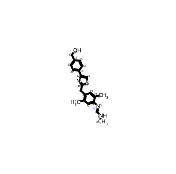 CN/C=N/c1cc(C)c(Cc2nc(-c3ccc(CO)cc3)cs2)cc1C